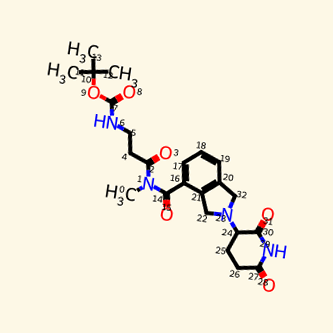 CN(C(=O)CCNC(=O)OC(C)(C)C)C(=O)c1cccc2c1CN(C1CCC(=O)NC1=O)C2